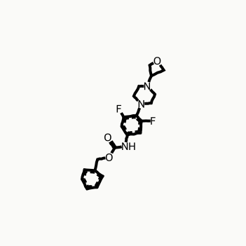 O=C(Nc1cc(F)c(N2CCN(C3COC3)CC2)c(F)c1)OCc1ccccc1